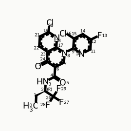 CC[C@@H](NC(=O)c1cn(-c2ncc(F)cc2Cl)c2nc(Cl)ccc2c1=O)C(F)(F)F